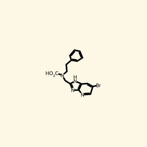 O=C(O)N(CCc1ccccc1)Cc1nc2ncc(Br)cc2[nH]1